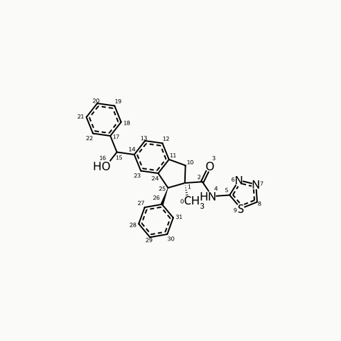 C[C@@]1(C(=O)Nc2nncs2)Cc2ccc(C(O)c3ccccc3)cc2[C@@H]1c1ccccc1